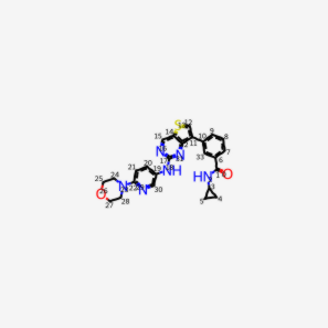 O=C(NC1CC1)c1cccc(-c2csc3cnc(Nc4ccc(N5CCOCC5)nc4)nc23)c1